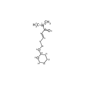 CN(C)C(=O)C=CCCOC1CCCCO1